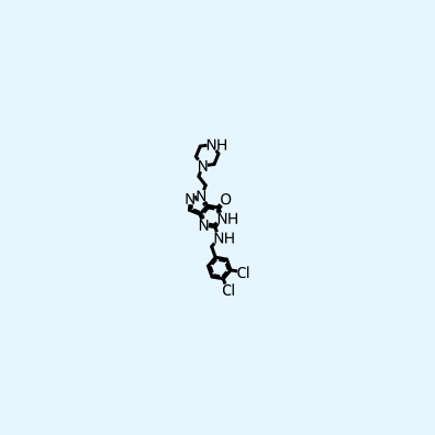 O=c1[nH]c(NCc2ccc(Cl)c(Cl)c2)nc2cnn(CCN3CCNCC3)c12